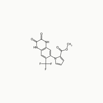 COC(=O)c1cccn1-c1cc2[nH]c(=O)c(=O)[nH]c2cc1C(F)(F)F